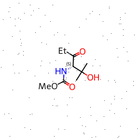 CCC(=O)[C@@H](NC(=O)OC)C(C)(C)O